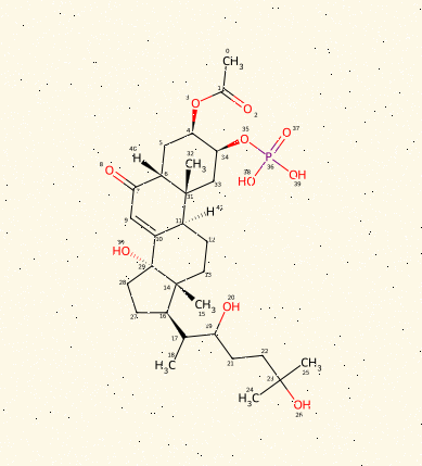 CC(=O)O[C@@H]1C[C@H]2C(=O)C=C3[C@H](CC[C@]4(C)[C@@H](C(C)C(O)CCC(C)(C)O)CC[C@@]34O)[C@@]2(C)C[C@@H]1OP(=O)(O)O